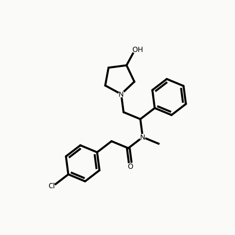 CN(C(=O)Cc1ccc(Cl)cc1)C(CN1CCC(O)C1)c1ccccc1